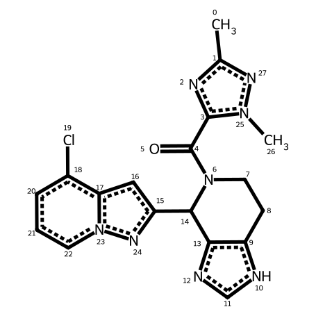 Cc1nc(C(=O)N2CCc3[nH]cnc3C2c2cc3c(Cl)cccn3n2)n(C)n1